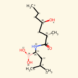 CCC[C@@H](O)C[C@H](C)C(=O)N[C@@H](CC(C)C)B(O)O